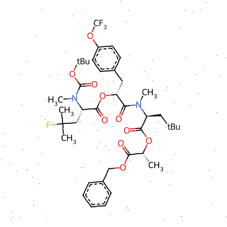 C[C@@H](OC(=O)[C@H](CC(C)(C)C)N(C)C(=O)[C@@H](Cc1ccc(OC(F)(F)F)cc1)OC(=O)[C@H](CC(C)(C)F)N(C)C(=O)OC(C)(C)C)C(=O)OCc1ccccc1